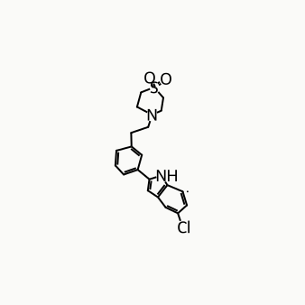 O=S1(=O)CCN(CCc2cccc(-c3cc4cc(Cl)c[c]c4[nH]3)c2)CC1